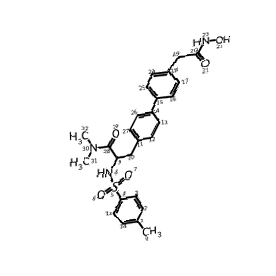 Cc1ccc(S(=O)(=O)NC(Cc2ccc(-c3ccc(CC(=O)NO)cc3)cc2)C(=O)N(C)C)cc1